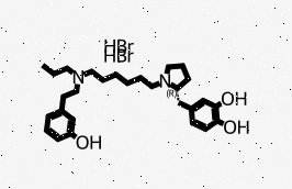 Br.Br.CCCN(CCCCCCN1CCC[C@@H]1Cc1ccc(O)c(O)c1)CCc1cccc(O)c1